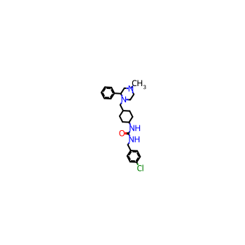 CN1CCN(CC2CCC(NC(=O)NCc3ccc(Cl)cc3)CC2)C(c2ccccc2)C1